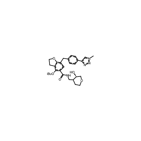 CC(C)COc1c(C(=O)NCC2CCOC[C@@H]2O)cc(Cc2ccc(-c3cn(C)nn3)cc2)c2c1CCO2